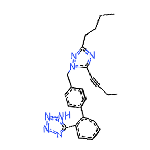 CCC#Cc1nc(CCCC)nn1Cc1ccc(-c2ccccc2-c2nnn[nH]2)cc1